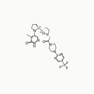 Cc1c(N2CCC[C@H]2[C@@H]2CC[C@H](CC(=O)N3CCN(c4ncc(C(F)(F)F)cn4)CC3)O2)cn[nH]c1=O